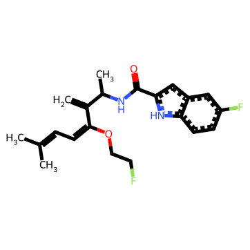 C=C(/C(=C\C=C(C)C)OCCF)C(C)NC(=O)c1cc2cc(F)ccc2[nH]1